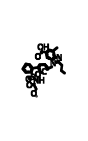 CCCc1nc2c(C)cc(C(=O)O)cc2n1Cc1ccc(-c2ccccc2S(=O)(=O)NC(=O)COC)cc1